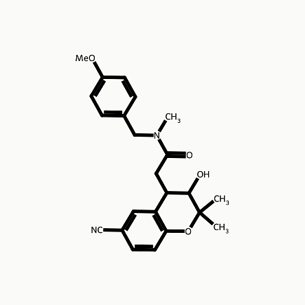 COc1ccc(CN(C)C(=O)CC2c3cc(C#N)ccc3OC(C)(C)C2O)cc1